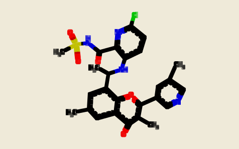 Cc1cncc(-c2oc3c(C(C)Nc4ccc(Cl)nc4C(=O)NS(C)(=O)=O)cc(C)cc3c(=O)c2C)c1